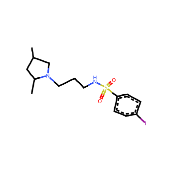 CC1CC(C)N(CCCNS(=O)(=O)c2ccc(I)cc2)C1